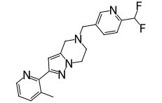 Cc1cccnc1-c1cc2n(n1)CCN(Cc1ccc(C(F)F)nc1)C2